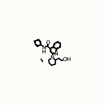 CC.O=C(Nc1ccccc1)c1cc(N2CCCCC2CCO)nc2ccccc12